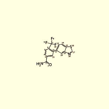 NC(=O)c1ccc(C(F)(F)F)c(-c2ccc3scnc3c2)c1